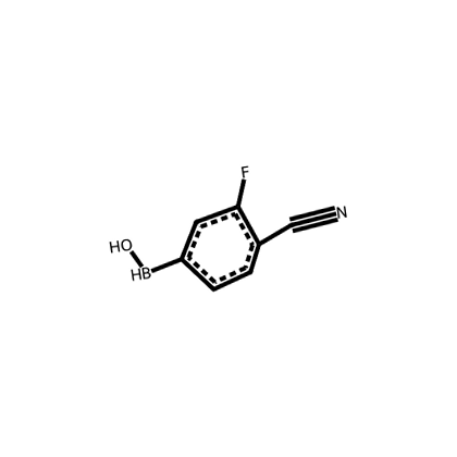 N#Cc1ccc(BO)cc1F